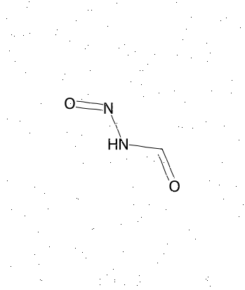 O=CNN=O